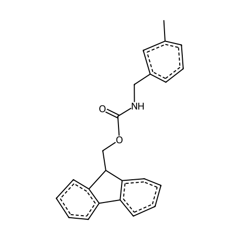 Cc1cccc(CNC(=O)OCC2c3ccccc3-c3ccccc32)c1